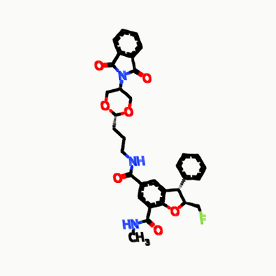 CNC(=O)c1cc(C(=O)NCCC[C@H]2OC[C@H](N3C(=O)c4ccccc4C3=O)CO2)cc2c1O[C@H](CF)[C@H]2c1ccccc1